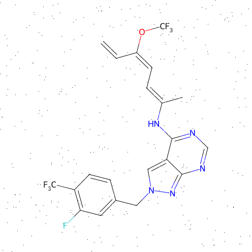 C=C/C(=C\C=C(/C)Nc1ncnc2nn(Cc3ccc(C(F)(F)F)c(F)c3)cc12)OC(F)(F)F